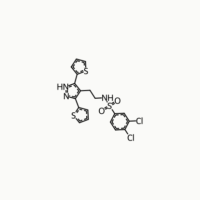 O=S(=O)(NCCc1c(-c2cccs2)n[nH]c1-c1cccs1)c1ccc(Cl)c(Cl)c1